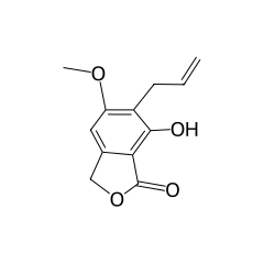 C=CCc1c(OC)cc2c(c1O)C(=O)OC2